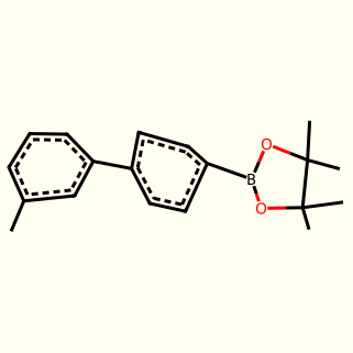 Cc1cccc(-c2ccc(B3OC(C)(C)C(C)(C)O3)cc2)c1